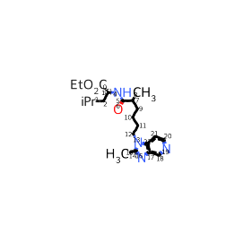 CCOC(=O)[C@H](CC(C)C)NC(=O)C(C)CCCCn1c(C)nc2cnccc21